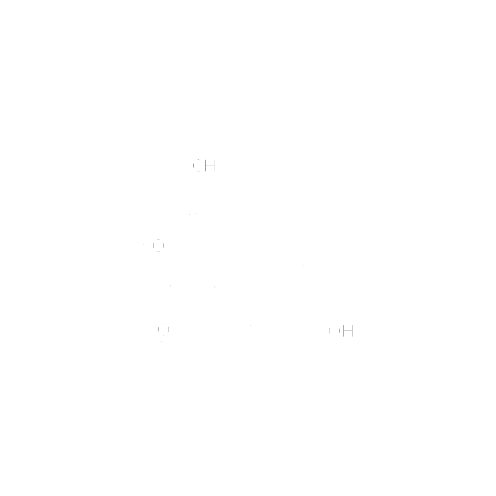 C=C1OC(=O)c2cc(O)ccc21